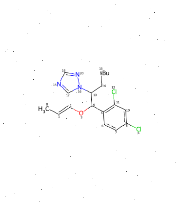 CC=COC(c1ccc(Cl)cc1Cl)C(CC(C)(C)C)n1cncn1